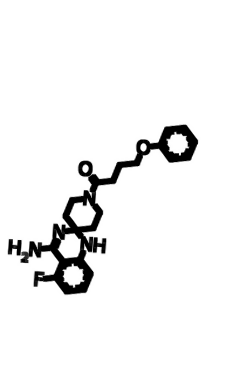 NC1=NC2(CCN(C(=O)CCCOc3ccccc3)CC2)Nc2cccc(F)c21